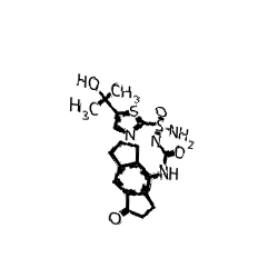 CC(C)(O)c1cnc([S@@](N)(=O)=NC(=O)Nc2c3c(cc4c2CCC4=O)CCC3)s1